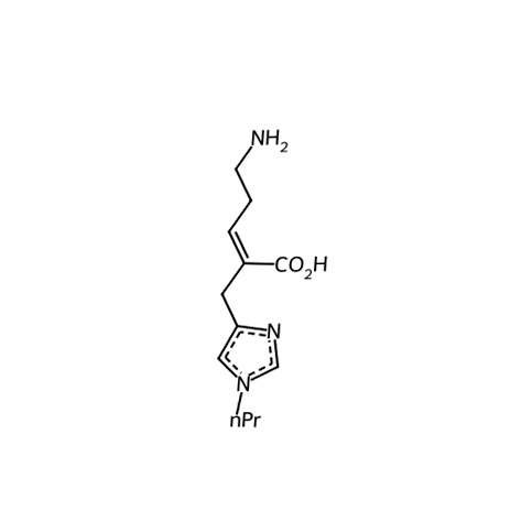 CCCn1cnc(C/C(=C/CCN)C(=O)O)c1